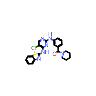 O=C(c1cccc(Nc2ncc(Cl)c(Nc3nc4ccccc4s3)n2)c1)N1CCCCC1